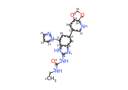 CCNC(=O)Nc1nc2cc(-c3cnc4c(c3)OCO4)cc(-n3cccn3)c2[nH]1